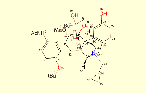 CC(=O)Nc1ccc(OC(C)(C)C)cc1.CO[C@@]12CC[C@@]3(C[C@@H]1[C@](C)(O)C(C)(C)C)[C@H]1Cc4ccc(O)c5c4[C@@]3(CCN1CC1CC1)[C@H]2O5